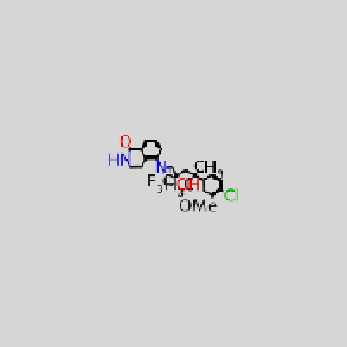 COc1cc(C(C)(C)CC(O)(/C=N/c2cccc3c(=O)[nH]ccc23)C(F)(F)F)ccc1Cl